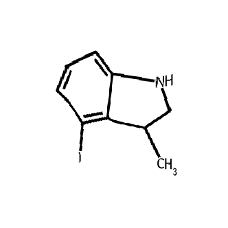 CC1CNc2cccc(I)c21